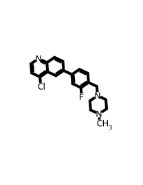 CN1CCN(Cc2ccc(-c3ccc4nccc(Cl)c4c3)cc2F)CC1